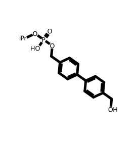 CC(C)OP(=O)(O)OCc1ccc(-c2ccc(CO)cc2)cc1